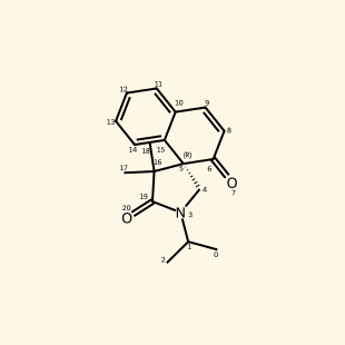 CC(C)N1C[C@]2(C(=O)C=Cc3ccccc32)C(C)(C)C1=O